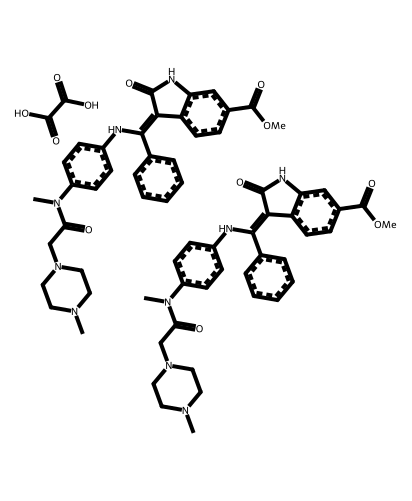 COC(=O)c1ccc2c(c1)NC(=O)/C2=C(\Nc1ccc(N(C)C(=O)CN2CCN(C)CC2)cc1)c1ccccc1.COC(=O)c1ccc2c(c1)NC(=O)/C2=C(\Nc1ccc(N(C)C(=O)CN2CCN(C)CC2)cc1)c1ccccc1.O=C(O)C(=O)O